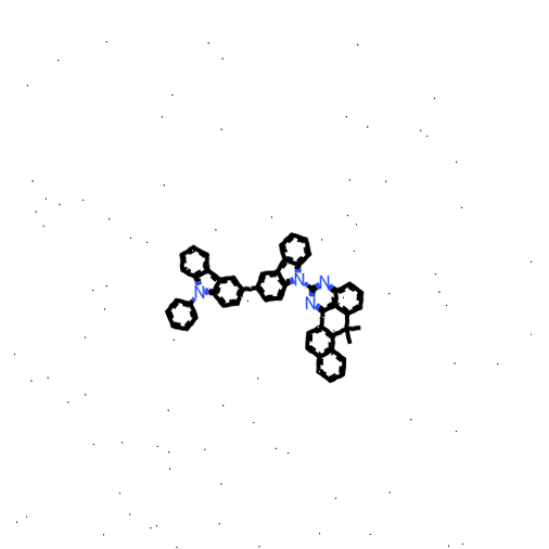 CC1(C)c2c(ccc3ccccc23)-c2nc(-n3c4ccccc4c4cc(-c5ccc6c(c5)c5ccccc5n6-c5ccccc5)ccc43)nc3cccc1c23